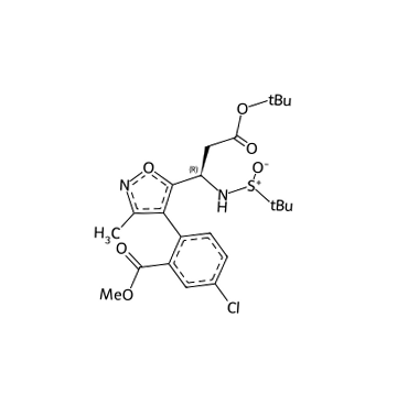 COC(=O)c1cc(Cl)ccc1-c1c(C)noc1[C@@H](CC(=O)OC(C)(C)C)N[S+]([O-])C(C)(C)C